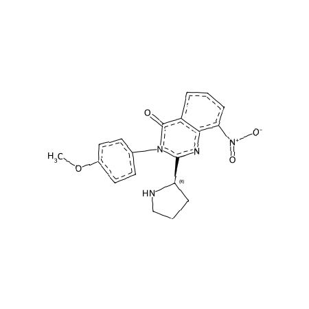 COc1ccc(-n2c([C@H]3CCCN3)nc3c([N+](=O)[O-])cccc3c2=O)cc1